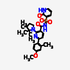 COc1ccc(-c2ccc(C(=O)NS(=O)(=O)c3ccc[nH]c3=O)c(N3CCC(C)C3(C)C)n2)c(C)c1